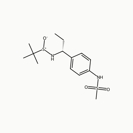 CC[C@@H](N[S+]([O-])C(C)(C)C)c1ccc(NS(C)(=O)=O)cc1